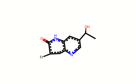 CCc1cc2ncc(C(C)O)cc2[nH]c1=O